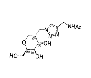 CC(=O)NCc1cn(C[C@H]2CO[C@H](CO)[C@H](O)[C@@H]2O)nn1